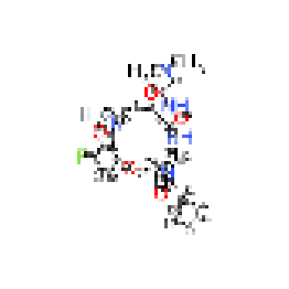 CN(C)CC(=O)N[C@H]1CCCN(C)C(=O)c2cc(F)ccc2OC[C@@H]2C[C@H](CN2C(=O)Cc2ccccc2)NC1=O